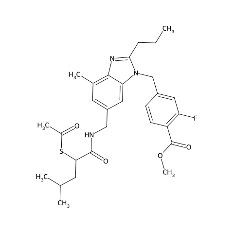 CCCc1nc2c(C)cc(CNC(=O)C(CC(C)C)SC(C)=O)cc2n1Cc1ccc(C(=O)OC)c(F)c1